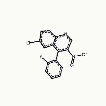 O=[N+]([O-])c1cnc2ccc(Cl)cc2c1-c1ccccc1F